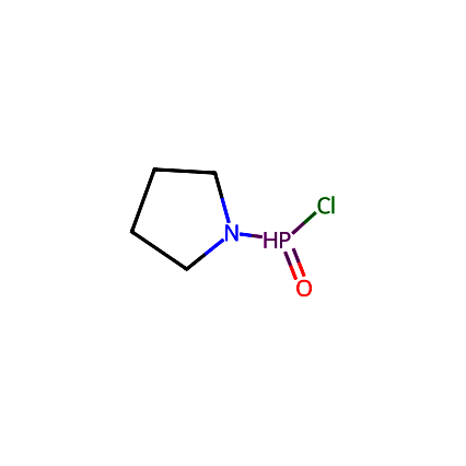 O=[PH](Cl)N1CCCC1